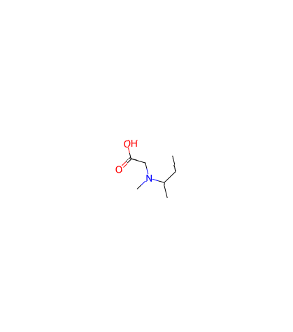 CCC(C)N(C)CC(=O)O